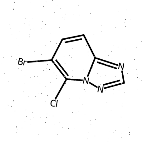 Clc1c(Br)ccc2ncnn12